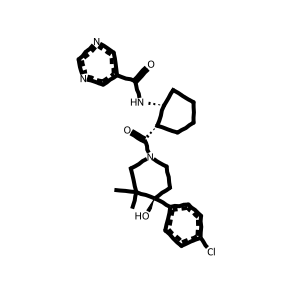 CC1(C)CN(C(=O)[C@H]2CCCC[C@H]2NC(=O)c2cncnc2)CC[C@]1(O)c1ccc(Cl)cc1